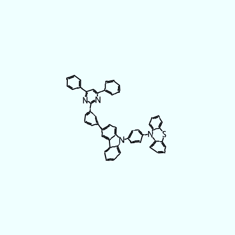 c1ccc(-c2cc(-c3ccccc3)nc(-c3cccc(-c4ccc5c(c4)c4ccccc4n5-c4ccc(N5c6ccccc6Sc6ccccc65)cc4)c3)n2)cc1